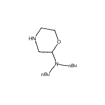 CCCCN(CCCC)[C]1CNCCO1